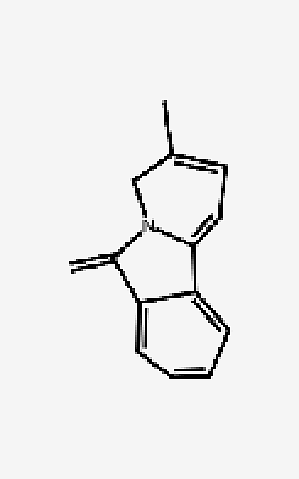 C=c1c2ccccc2c2n1CC(C)=CC=2